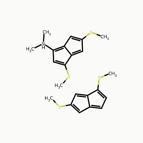 CSC1=CC2=C([SiH](C)C)C=C(SC)C2=C1.CSC1=CC2=CC=C(SC)C2=C1